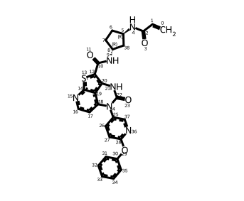 C=CC(=O)N[C@@H]1CC[C@@H](NC(=O)c2sc3nccc4c3c2NC(=O)N4c2ccc(Oc3ccccc3)nc2)C1